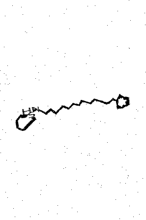 C1=CC=S(NCCCCCCCCCCCCc2ccccc2)C=C1